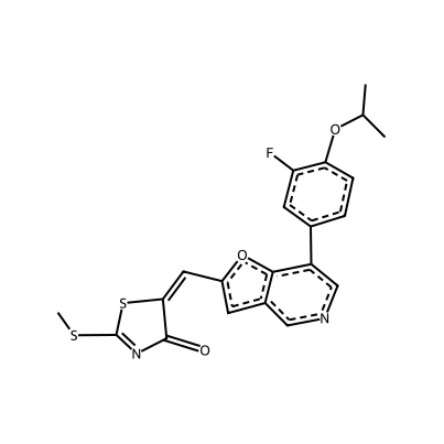 CSC1=NC(=O)/C(=C\c2cc3cncc(-c4ccc(OC(C)C)c(F)c4)c3o2)S1